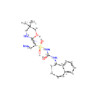 CC1(C)CN/C(=C(\C=N)S(=O)(=O)NC(=O)NC2CCCCc3ccccc32)OC1